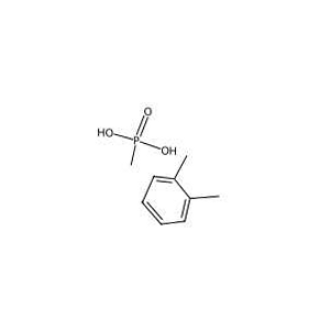 CP(=O)(O)O.Cc1ccccc1C